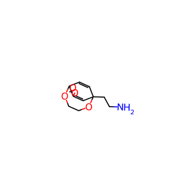 NCCC12C=CC3(OCCO1)OCOC3=C2